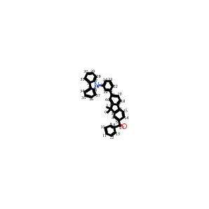 CC1(C)c2cc(C(=O)c3ccccc3)ccc2-c2ccc(-c3cccc(-n4c5ccccc5c5ccccc54)c3)cc21